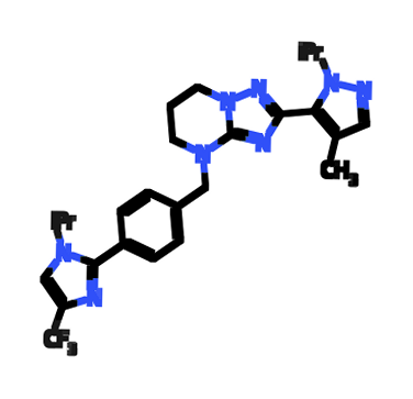 Cc1cnn(C(C)C)c1-c1nc2n(n1)CCCN2Cc1ccc(-c2nc(C(F)(F)F)cn2C(C)C)cc1